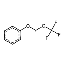 FC(F)(F)O[CH]Oc1ccccc1